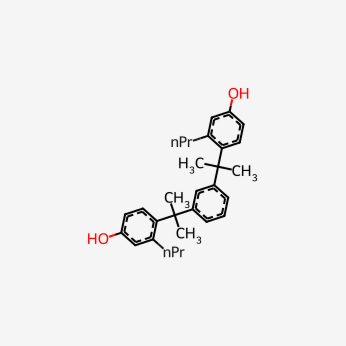 CCCc1cc(O)ccc1C(C)(C)c1cccc(C(C)(C)c2ccc(O)cc2CCC)c1